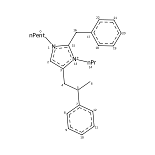 CCCCCn1cc(CC(C)c2ccccc2)[n+](CCC)c1Cc1ccccc1